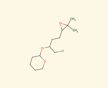 CC1(C)OC1CCC(CCl)OC1CCCCO1